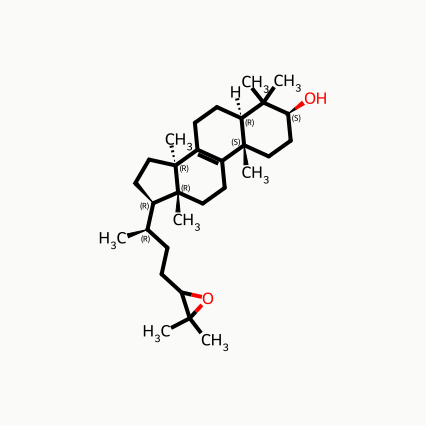 C[C@H](CCC1OC1(C)C)[C@H]1CC[C@@]2(C)C3=C(CC[C@]12C)[C@@]1(C)CC[C@H](O)C(C)(C)[C@@H]1CC3